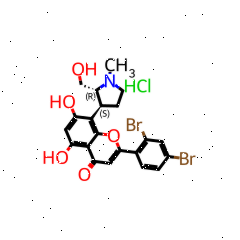 CN1CC[C@@H](c2c(O)cc(O)c3c(=O)cc(-c4ccc(Br)cc4Br)oc23)[C@@H]1CO.Cl